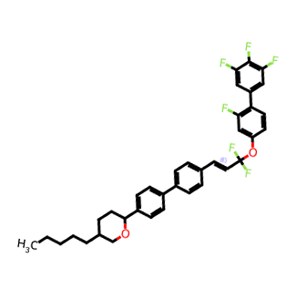 CCCCCC1CCC(c2ccc(-c3ccc(/C=C/C(F)(F)Oc4ccc(-c5cc(F)c(F)c(F)c5)c(F)c4)cc3)cc2)OC1